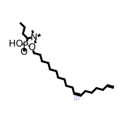 C=CCCCC/C=C\CCCCCCCCCCOP(=O)(O)C(CCC)[N+](C)(C)C